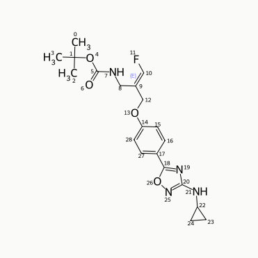 CC(C)(C)OC(=O)NC/C(=C\F)COc1ccc(-c2nc(NC3CC3)no2)cc1